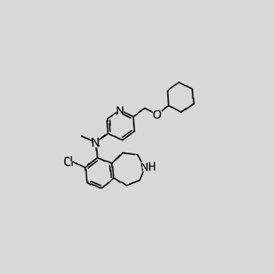 CN(c1ccc(COC2CCCCC2)nc1)c1c(Cl)ccc2c1CCNCC2